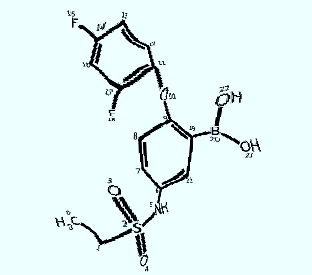 CCS(=O)(=O)Nc1ccc(Oc2ccc(F)cc2F)c(B(O)O)c1